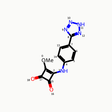 COc1c(Nc2ccc(-c3nn[nH]n3)cc2)c(=O)c1=O